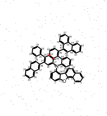 c1cc2oc3c4ccccc4ccc3c2c(N(c2ccc(-c3ccccc3)c(-c3ccc4ccccc4c3)c2)c2ccccc2C2=C(c3cc4ccccc4c4ccccc34)C=CCC2)c#1